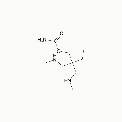 CCC(CNC)(CNC)COC(N)=O